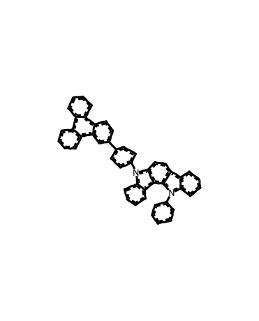 c1ccc(-n2c3ccccc3c3ccc4c(c5ccccc5n4-c4ccc(-c5ccc6c7ccccc7c7ccccc7c6c5)cc4)c32)cc1